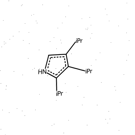 CC(C)c1c[nH]c(C(C)C)c1C(C)C